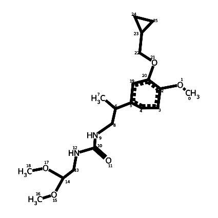 COc1ccc(C(C)CNC(=O)NCC(OC)OC)cc1OCC1CC1